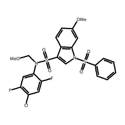 COCN(c1cc(F)c(Cl)cc1F)S(=O)(=O)c1cn(S(=O)(=O)c2ccccc2)c2cc(OC)ccc12